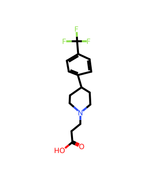 O=C(O)CCN1CCC(c2ccc(C(F)(F)F)cc2)CC1